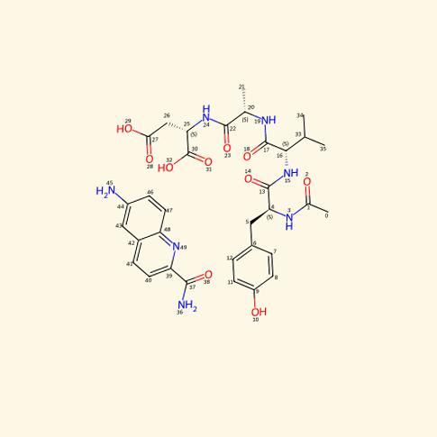 CC(=O)N[C@@H](Cc1ccc(O)cc1)C(=O)N[C@H](C(=O)N[C@@H](C)C(=O)N[C@@H](CC(=O)O)C(=O)O)C(C)C.NC(=O)c1ccc2cc(N)ccc2n1